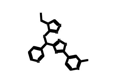 CCn1cnnc1SC(c1cccnc1)c1noc(-c2ccnc(C)c2)n1